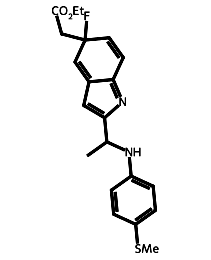 CCOC(=O)CC1(F)C=CC2=NC(C(C)Nc3ccc(SC)cc3)=CC2=C1